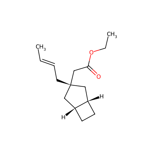 C/C=C/C[C@]1(CC(=O)OCC)C[C@H]2CC[C@H]2C1